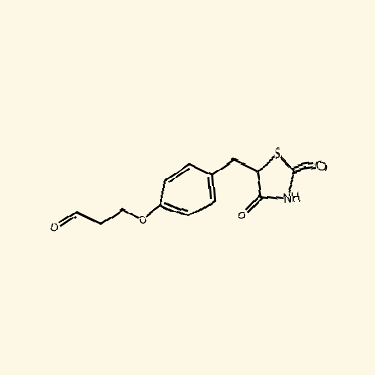 O=CCCOc1ccc(CC2SC(=O)NC2=O)cc1